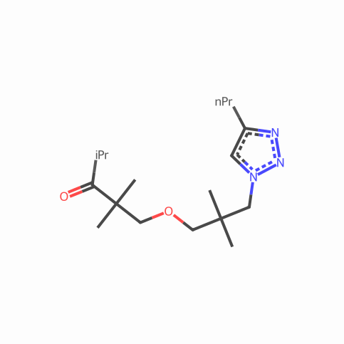 CCCc1cn(CC(C)(C)COCC(C)(C)C(=O)C(C)C)nn1